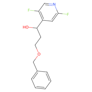 OC(CCOCc1ccccc1)c1cc(F)ncc1F